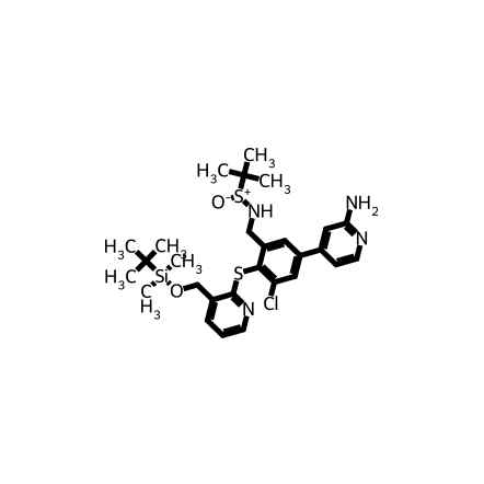 CC(C)(C)[S+]([O-])NCc1cc(-c2ccnc(N)c2)cc(Cl)c1Sc1ncccc1CO[Si](C)(C)C(C)(C)C